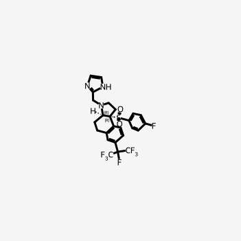 O=S(=O)(c1ccc(F)cc1)[C@@]12CCN(Cc3ncc[nH]3)[C@@H]1CCc1cc(C(F)(C(F)(F)F)C(F)(F)F)ccc12